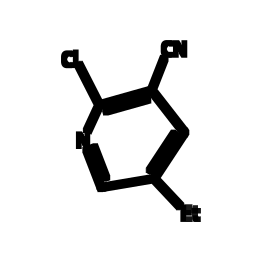 CCc1cnc(Cl)c(C#N)c1